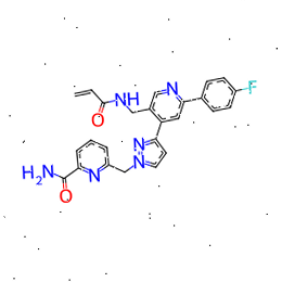 C=CC(=O)NCc1cnc(-c2ccc(F)cc2)cc1-c1ccn(Cc2cccc(C(N)=O)n2)n1